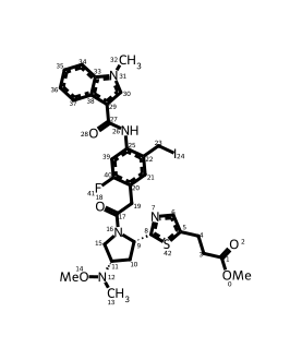 COC(=O)CCc1cnc([C@@H]2C[C@H](N(C)OC)CN2C(=O)Cc2cc(CI)c(NC(=O)c3cn(C)c4ccccc34)cc2F)s1